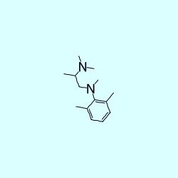 Cc1cccc(C)c1N(C)CC(C)N(C)C